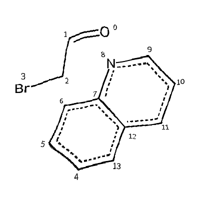 O=CCBr.c1ccc2ncccc2c1